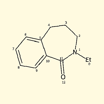 CCN1CCCc2ccccc2C1=O